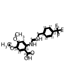 COc1cc(NC=[SH]Cc2ccc(C(F)(F)F)cc2)c(C(=O)O)cc1OC